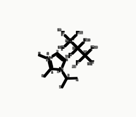 Cc1n(C(C)C)cc[n+]1C.F[B-](F)(F)C(F)(F)C(F)(F)F